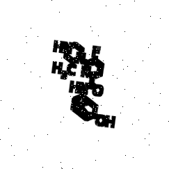 C[C@@H]1CNCCN1c1nc(C(=O)NC2C3CC4CC2CC(O)(C4)C3)ccc1F